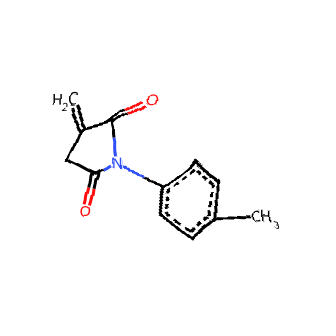 C=C1CC(=O)N(c2ccc(C)cc2)C1=O